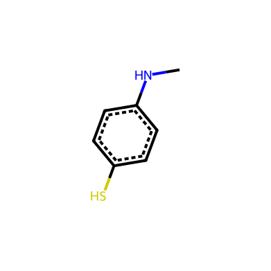 CNc1ccc(S)cc1